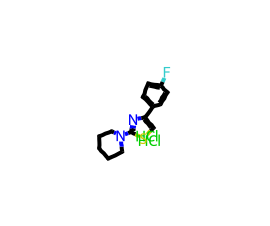 Cl.Cl.Fc1ccc(-c2csc(N3CCCCC3)n2)cc1